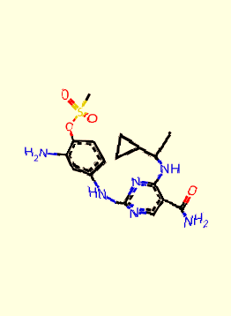 CC(Nc1nc(Nc2ccc(OS(C)(=O)=O)c(N)c2)ncc1C(N)=O)C1CC1